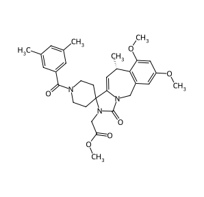 COC(=O)CN1C(=O)N2Cc3cc(OC)cc(OC)c3[C@@H](C)C=C2C12CCN(C(=O)c1cc(C)cc(C)c1)CC2